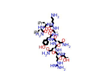 CC(C)C[C@H](NC(=O)[C@H](CC(C)C)NC(=O)[C@H](CCCCN)NC(=O)[C@H](C)NC(=O)[C@H](Cc1ccc(O)cc1)NC(=O)[C@H](CCC(N)=O)NC(=O)[C@H](CCC(N)=O)NC(=O)[C@H](CCCNC(=N)N)NC(=O)[C@@H](C)[C@@H](C)O)C(N)=O